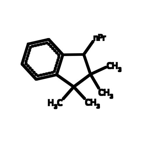 CCCC1c2ccccc2C(C)(C)C1(C)C